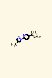 CNC(C)c1ccc(-n2cc(C)cn2)nc1